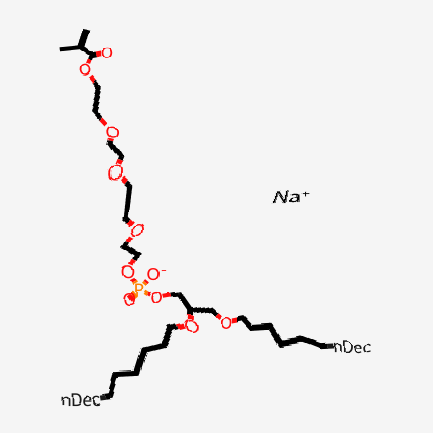 C=C(C)C(=O)OCCOCCOCCOCCOP(=O)([O-])OCC(COCCCCCCCCCCCCCCCC)OCCCCCCCCCCCCCCCC.[Na+]